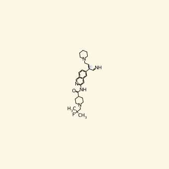 CC(C)(F)CN1CCC(C(=O)Nc2cc3cc(/C(C=N)=C\CN4CCCCC4)ccc3cn2)CC1